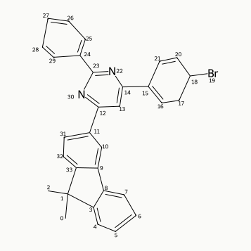 CC1(C)c2ccccc2-c2cc(-c3cc(C4=CCC(Br)C=C4)nc(-c4ccccc4)n3)ccc21